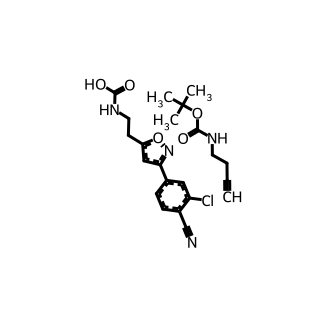 C#CCCNC(=O)OC(C)(C)C.N#Cc1ccc(-c2cc(CCNC(=O)O)on2)cc1Cl